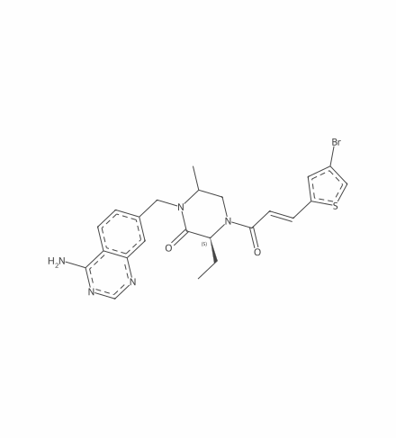 CC[C@H]1C(=O)N(Cc2ccc3c(N)ncnc3c2)C(C)CN1C(=O)C=Cc1cc(Br)cs1